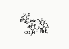 COc1ccc2ncc(F)c([C@H](N)CCC3CCN(CCSc4cc(F)ccc4F)CC3C(=O)O)c2c1